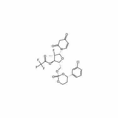 C[C@@]1(F)[C@H](OC(=O)C(F)(F)F)[C@@H](CO[P@@]2(=O)OCC[C@@H](c3cccc(Cl)c3)O2)O[C@H]1N1C=CC(=O)CC1=O